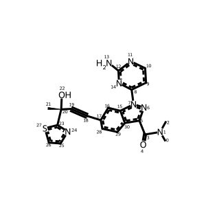 CN(C)C(=O)c1nn(-c2ccnc(N)n2)c2cc(C#C[C@@](C)(O)c3nccs3)ccc12